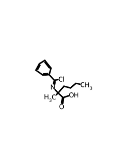 CCCCC(C)(N=C(Cl)c1ccccc1)C(=O)O